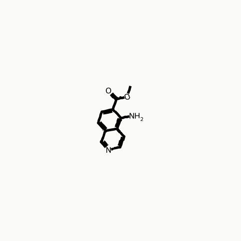 COC(=O)c1ccc2cnccc2c1N